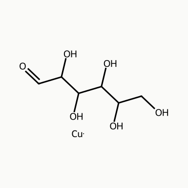 O=CC(O)C(O)C(O)C(O)CO.[Cu]